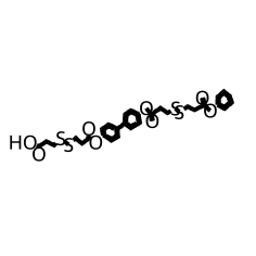 O=C(O)CCSSCCC(=O)Oc1ccc(-c2ccc(OC(=O)CCSSCCC(=O)Oc3ccccc3)cc2)cc1